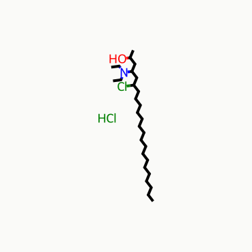 CCCCCCCCCCCCCCCCCC(Cl)CC(CC(C)O)N(CC)CC.Cl